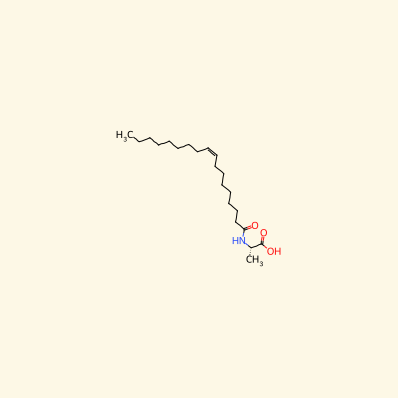 CCCCCCCC/C=C\CCCCCCCC(=O)N[C@@H](C)C(=O)O